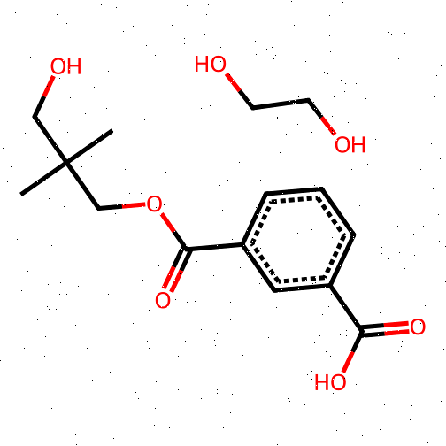 CC(C)(CO)COC(=O)c1cccc(C(=O)O)c1.OCCO